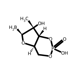 B[C@@H]1O[C@@H]2COP(=O)(O)O[C@H]2[C@@]1(C)O